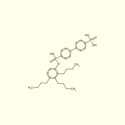 CCCCc1ccc(OP(=O)(O)c2ccc(-c3ccc(P(=O)(O)O)cc3)cc2)c(CCCC)c1CCCC